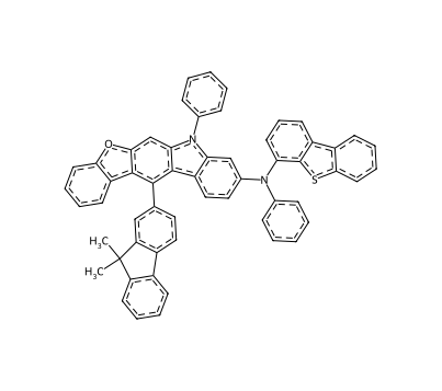 CC1(C)c2ccccc2-c2ccc(-c3c4c(cc5c3c3ccc(N(c6ccccc6)c6cccc7c6sc6ccccc67)cc3n5-c3ccccc3)oc3ccccc34)cc21